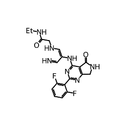 CCNC(=O)CN/C=C(\C=N)Nc1nc(-c2c(F)cccc2F)nc2c1C(=O)NC2